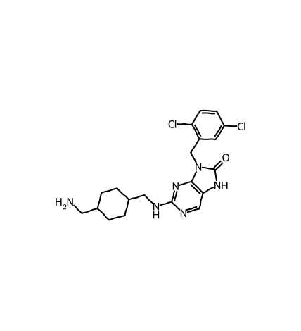 NCC1CCC(CNc2ncc3[nH]c(=O)n(Cc4cc(Cl)ccc4Cl)c3n2)CC1